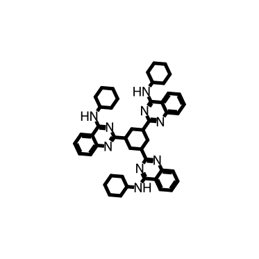 c1ccc2c(NC3CCCCC3)nc(C3CC(c4nc(NC5CCCCC5)c5ccccc5n4)CC(c4nc(NC5CCCCC5)c5ccccc5n4)C3)nc2c1